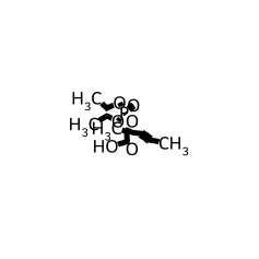 CC#CC(C)(OP(=O)(OCC)OCC)C(=O)O